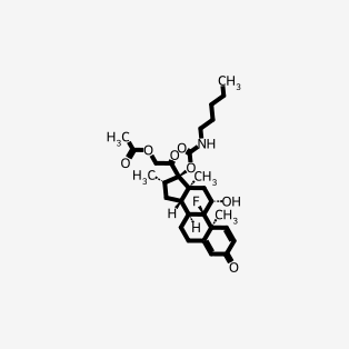 CCCCCNC(=O)O[C@]1(C(=O)COC(C)=O)[C@@H](C)C[C@H]2[C@@H]3CCC4=CC(=O)C=C[C@]4(C)[C@@]3(F)[C@@H](O)C[C@@]21C